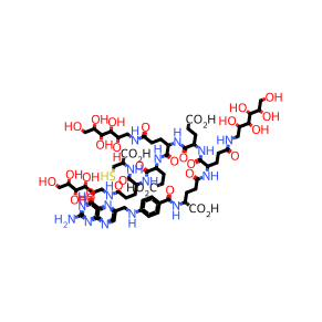 Nc1nc2ncc(CNc3ccc(C(=O)NC(CCC(=O)NC(CCC(=O)NCC(O)C(O)C(O)C(O)CO)C(=O)NC(CCC(=O)O)C(=O)NC(CCC(=O)NCC(O)C(O)C(O)C(O)CO)C(=O)NC(CCC(=O)O)C(=O)NC(CCC(=O)NCC(O)C(O)C(O)C(O)CO)C(=O)NC(CS)C(=O)O)C(=O)O)cc3)nc2c(=O)[nH]1